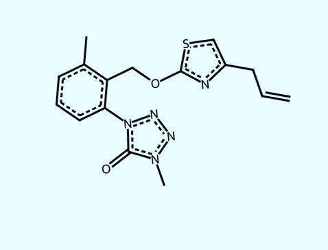 C=CCc1csc(OCc2c(C)cccc2-n2nnn(C)c2=O)n1